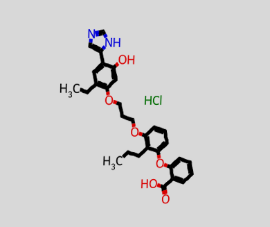 CCCc1c(OCCCOc2cc(O)c(-c3cnc[nH]3)cc2CC)cccc1Oc1ccccc1C(=O)O.Cl